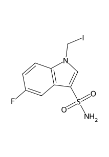 NS(=O)(=O)c1cn(CI)c2ccc(F)cc12